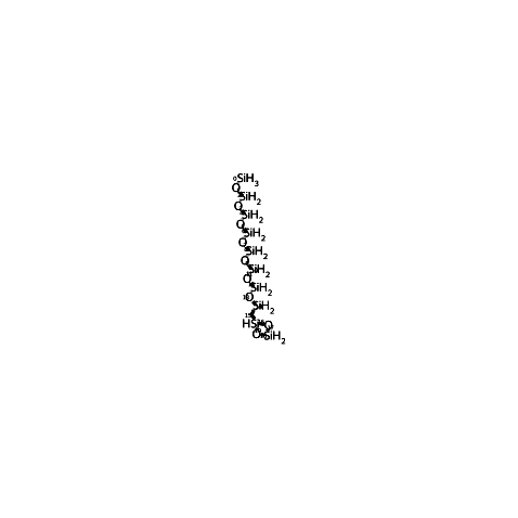 [SiH3]O[SiH2]O[SiH2]O[SiH2]O[SiH2]O[SiH2]O[SiH2]O[SiH2]C[SiH]1O[SiH2]O1